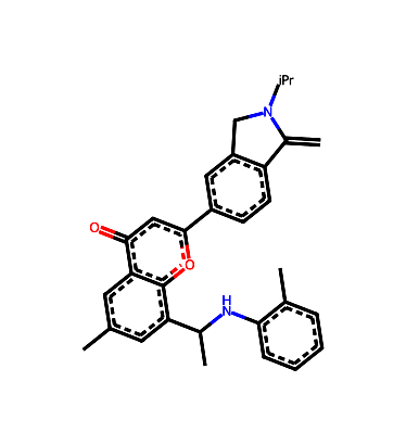 C=C1c2ccc(-c3cc(=O)c4cc(C)cc(C(C)Nc5ccccc5C)c4o3)cc2CN1C(C)C